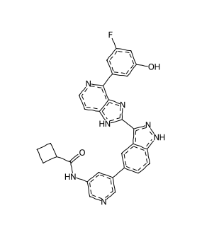 O=C(Nc1cncc(-c2ccc3[nH]nc(-c4nc5c(-c6cc(O)cc(F)c6)nccc5[nH]4)c3c2)c1)C1CCC1